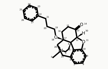 CN1CC[C@]23c4c5cccc4O[C@H]2C(=O)CC[C@@]3(OCCCc2ccccc2)C1C5